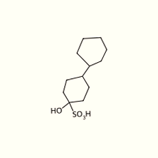 O=S(=O)(O)C1(O)CCC(C2CCCCC2)CC1